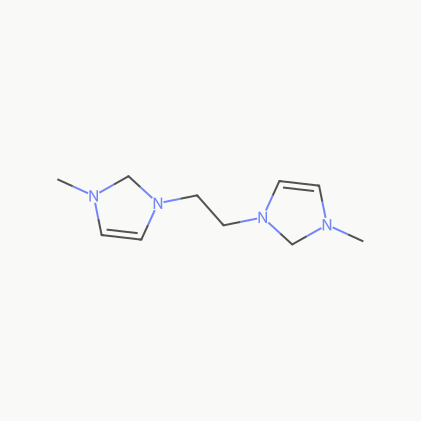 CN1C=CN(CCN2C=CN(C)C2)C1